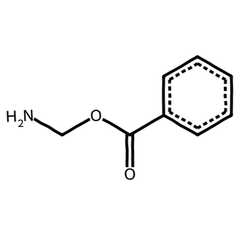 NCOC(=O)c1ccccc1